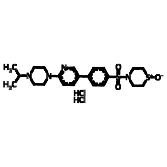 CC(C)N1CCN(c2ccc(-c3ccc(S(=O)(=O)N4CC[S+]([O-])CC4)cc3)cn2)CC1.Cl.Cl